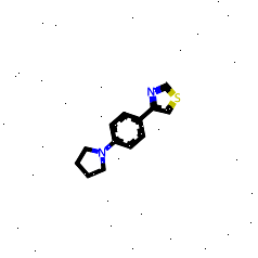 [c]1nc(-c2ccc(N3CCCC3)cc2)cs1